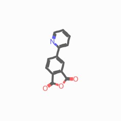 O=C1OC(=O)c2cc(-c3ccccn3)ccc21